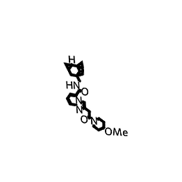 COC1CCN(C(=O)Cc2cn3c(C(=O)NCC45CC6C[C@@H]6C6(CC6C4)C5)cccc3n2)CC1